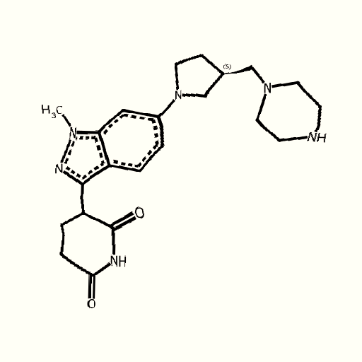 Cn1nc(C2CCC(=O)NC2=O)c2ccc(N3CC[C@@H](CN4CCNCC4)C3)cc21